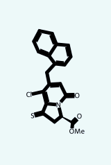 COC(=O)[C@H]1CC(=S)c2c(Cl)c(Cc3cccc4ccccc34)cc(=O)n21